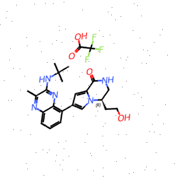 Cc1nc2cccc(-c3cc4n(c3)[C@H](CCO)CNC4=O)c2nc1NC(C)(C)C.O=C(O)C(F)(F)F